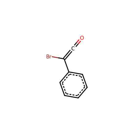 O=C=C(Br)c1ccccc1